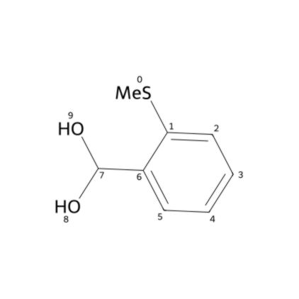 CSc1ccccc1C(O)O